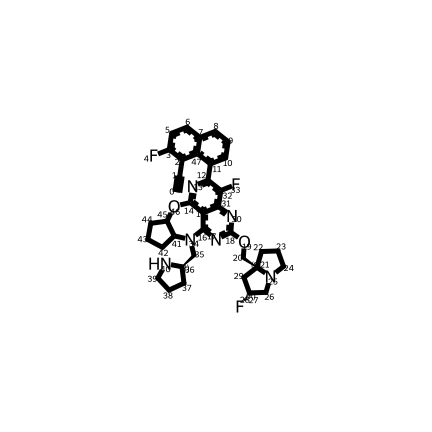 C#Cc1c(F)ccc2cccc(-c3nc4c5c(nc(OC[C@@]67CCCN6C[C@H](F)C7)nc5c3F)N(C[C@H]3CCCN3)C3CCCC3O4)c12